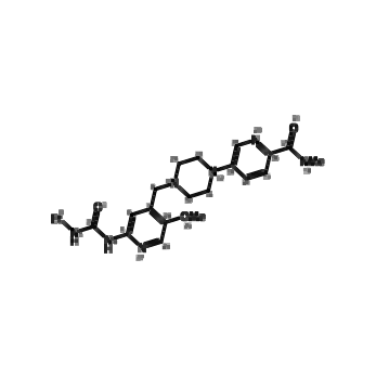 CCNC(=O)Nc1cc(CN2CCN(c3ccc(C(=O)NC)nc3)CC2)c(OC)cn1